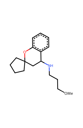 COCCCNC1CC2(CCCC2)Oc2ccccc21